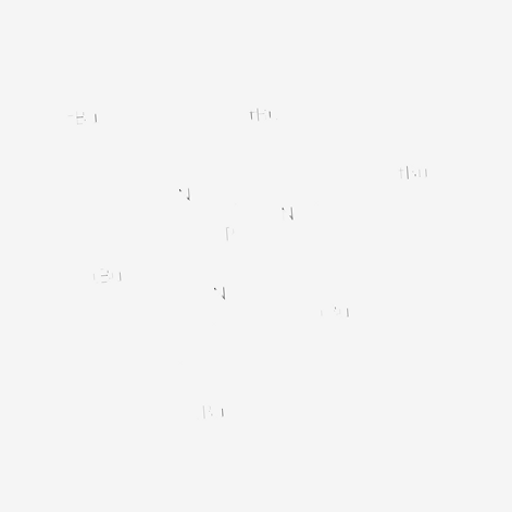 CC(C)(C)c1ccc(N2c3cc(C(C)(C)C)cc4c3P3c5c2cc(C(C)(C)C)cc5N(c2ccc(C(C)(C)C)cc2)c2cc(C(C)(C)C)cc(c23)N4c2ccc(C(C)(C)C)cc2)cc1